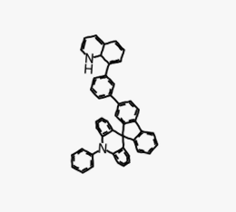 C1=CNC2C(=C1)C=CC=C2c1cccc(-c2ccc3c(c2)C2(c4ccccc4-3)c3ccccc3N(c3ccccc3)c3ccccc32)c1